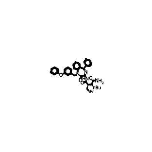 CCCC[C@H](C(N)=O)[C@@H](CC(C)C)C(=O)NC1N=C(c2ccccc2)c2ccccc2N(Cc2cccc(Oc3ccccc3)c2)C1=O